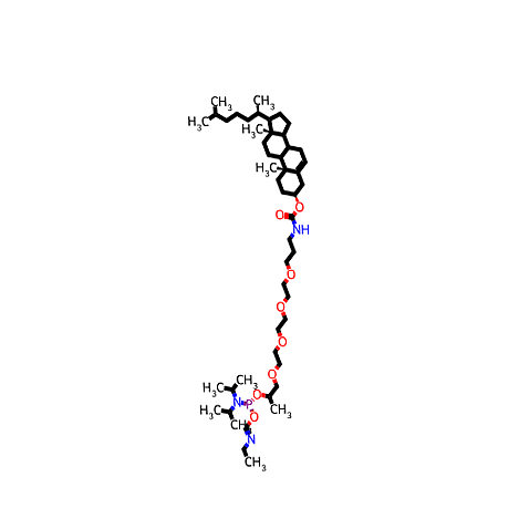 CC/N=C/OP(OC(C)COCCOCCOCCOCCCNC(=O)O[C@H]1CC[C@@]2(C)C(=CCC3C4CCC([C@H](C)CCCC(C)C)[C@@]4(C)CCC32)C1)N(C(C)C)C(C)C